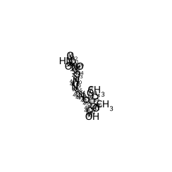 COc1cccc(C2C(c3ccc(N4CCC(CN5CCN(c6ccc7c(c6)CN([C@H]6CCC(=O)NC6=O)C7=O)CC5)CC4)cc3)c3ccc(O)cc3O[C@@H]2C)c1